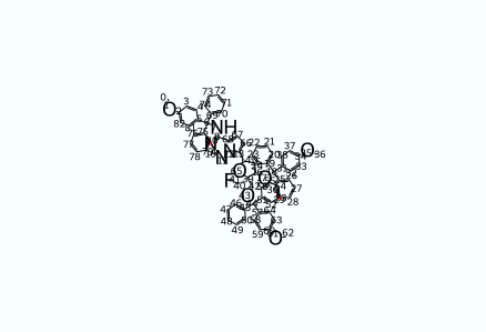 COc1ccc(C(Nc2ncnn3c([C@H]4C[C@H](OC(c5ccccc5)(c5ccccc5)c5ccc(OC)cc5)[C@@](CF)(COC(c5ccccc5)(c5ccccc5)c5ccc(OC)cc5)O4)ccc23)(c2ccccc2)c2ccccc2)cc1